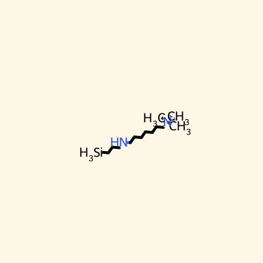 C[N+](C)(C)CCCCCCCNCCC[SiH3]